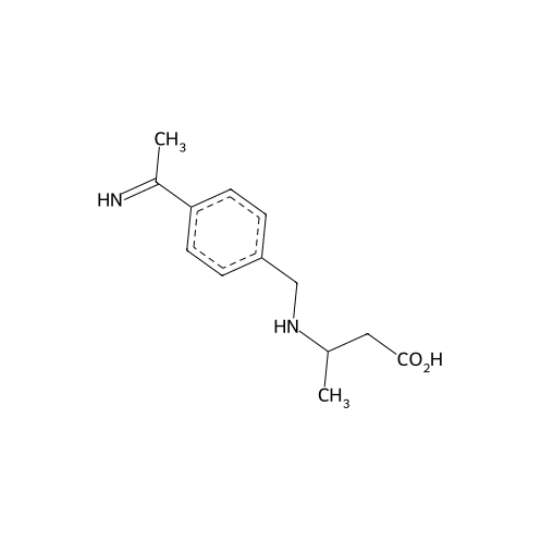 CC(=N)c1ccc(CNC(C)CC(=O)O)cc1